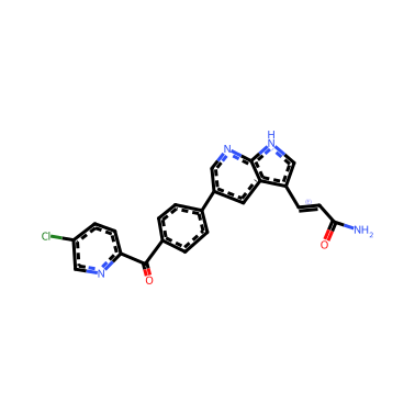 NC(=O)/C=C/c1c[nH]c2ncc(-c3ccc(C(=O)c4ccc(Cl)cn4)cc3)cc12